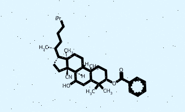 CC(C)CCC[C@@H](C)[C@H]1CC[C@@]2(C#N)[C@@H]3C(O)CC4C(C)(C)C(OC(=O)c5ccccc5)CC[C@]4(C)[C@H]3CC[C@]12C